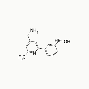 NCc1cc(-c2cccc(BO)c2)nc(C(F)(F)F)c1